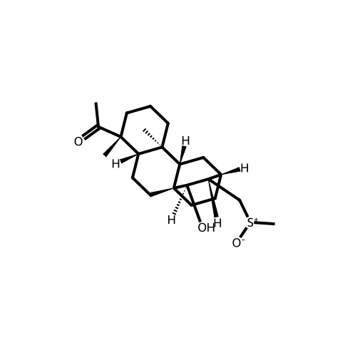 CC(=O)[C@]1(C)CCC[C@@]2(C)[C@@H]3C[C@@H]4CC[C@@]3(CC[C@@H]21)[C@H](O)[C@H]4C[S+](C)[O-]